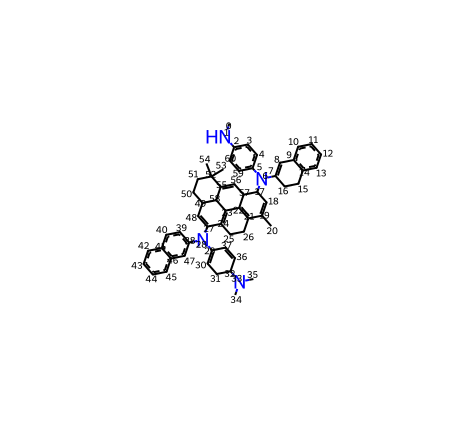 CNc1ccc(N(C2=Cc3ccccc3CC2)C2C=C(C)C3=C4C5=C(CC3)C(N(C3=CCC(N(C)C)C=C3)c3ccc6ccccc6c3)=CC3CCC(C)(C)C(=CC42)C53)cc1